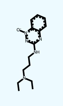 CCN(CC)CCCNc1nc2ccccc2[n+]([O-])n1